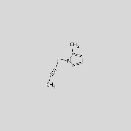 CC#CCn1n[c]cc1C